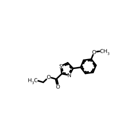 CCOC(=O)c1nc(-c2cccc(OC)c2)cs1